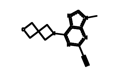 C#Cc1nc(N2CC3(COC3)C2)c2ncn(C)c2n1